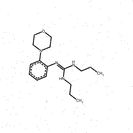 CCCNC(=Nc1ccccc1N1CCOCC1)NCCC